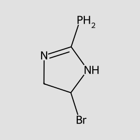 PC1=NCC(Br)N1